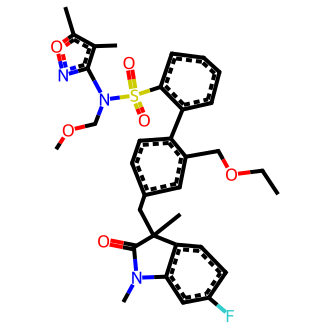 CCOCc1cc(CC2(C)C(=O)N(C)c3cc(F)ccc32)ccc1-c1ccccc1S(=O)(=O)N(COC)c1noc(C)c1C